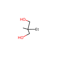 CCC(C)(CO)CO